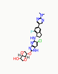 CN(C)c1ncc(-c2cc(F)c3c(c2)CC[C@@H]3Nc2nc3nc(O[C@@H]4CO[C@H]5[C@@H]4OC[C@H]5O)[nH]c3cc2Cl)cn1